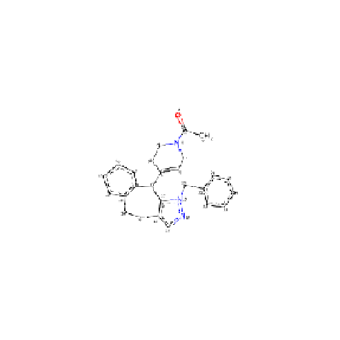 CC(=O)N1CC=C(C2c3ccccc3CCc3cnn(Cc4ccccc4)c32)CC1